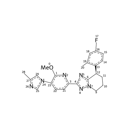 COc1nc(-c2nc3n(n2)CCC[C@@H]3c2ccc(F)cc2C)ccc1-n1cnc(C)c1